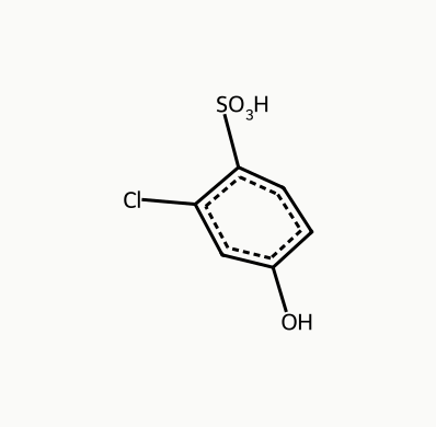 O=S(=O)(O)c1ccc(O)cc1Cl